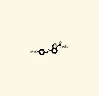 COc1ccc(CSc2cccc3c2cnn3C(=O)OC(C)(C)C)cc1